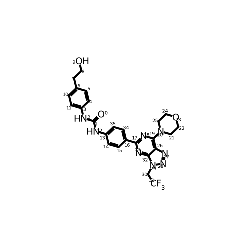 O=C(Nc1ccc(CCO)cc1)Nc1ccc(-c2nc(N3CCOCC3)c3nnn(CC(F)(F)F)c3n2)cc1